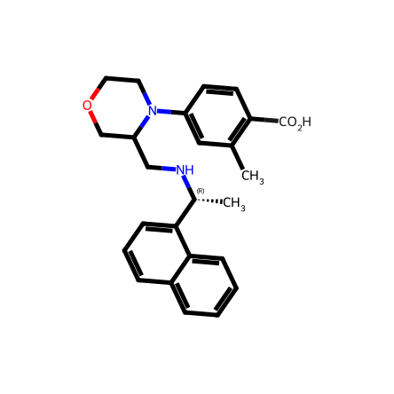 Cc1cc(N2CCOCC2CN[C@H](C)c2cccc3ccccc23)ccc1C(=O)O